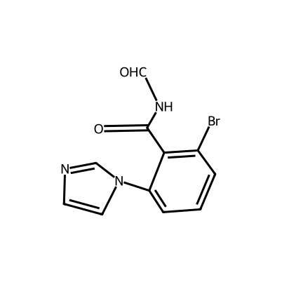 O=CNC(=O)c1c(Br)cccc1-n1ccnc1